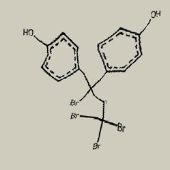 Oc1ccc(C(Br)([C]C(Br)(Br)Br)c2ccc(O)cc2)cc1